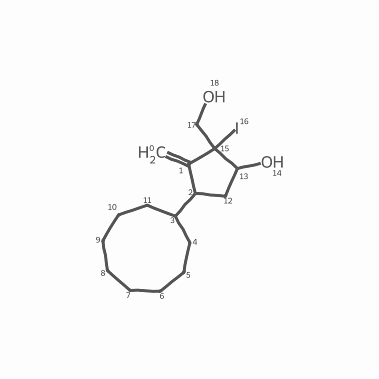 C=C1C(C2CCCCCCCC2)CC(O)C1(I)CO